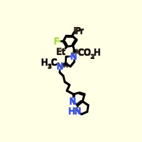 CCc1c(F)cc(C(C)C)cc1[C@H](C(=O)O)N1CC[C@@H](N(C)CCCCCc2ccc3c(n2)NCCC3)C1